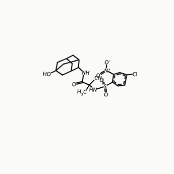 CC(C)(NS(=O)(=O)c1ccc(Cl)cc1[N+](=O)[O-])C(=O)NC1C2CC3CC1CC(O)(C3)C2